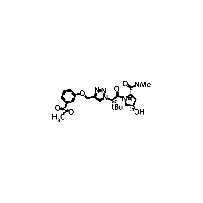 CNC(=O)[C@@H]1C[C@@H](O)CN1C(=O)[C@@H](n1cc(COc2cccc(S(C)(=O)=O)c2)nn1)C(C)(C)C